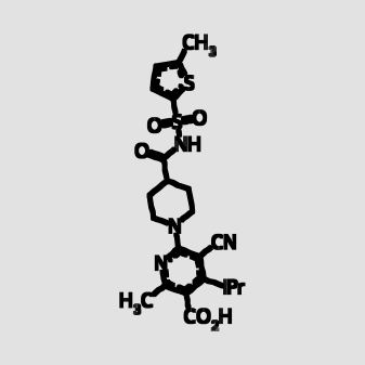 Cc1ccc(S(=O)(=O)NC(=O)C2CCN(c3nc(C)c(C(=O)O)c(C(C)C)c3C#N)CC2)s1